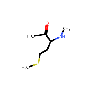 CNC(CCSC)C(C)=O